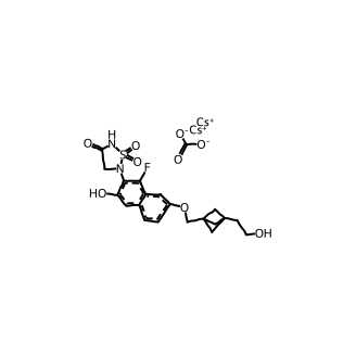 O=C([O-])[O-].O=C1CN(c2c(O)cc3ccc(OCC45CC(CCO)(C4)C5)cc3c2F)S(=O)(=O)N1.[Cs+].[Cs+]